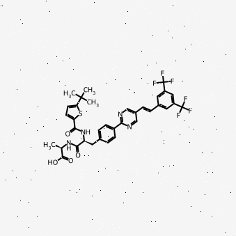 C[C@@H](NC(=O)[C@H](Cc1ccc(-c2ncc(/C=C/c3cc(C(F)(F)F)cc(C(F)(F)F)c3)cn2)cc1)NC(=O)c1ccc(C(C)(C)C)s1)C(=O)O